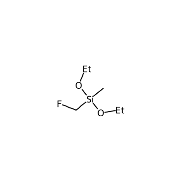 CCO[Si](C)(CF)OCC